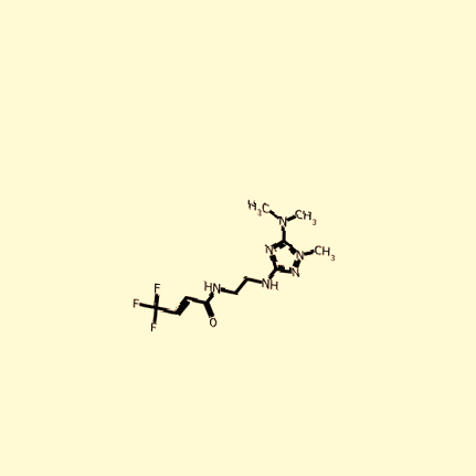 CN(C)c1nc(NCCNC(=O)C=CC(F)(F)F)nn1C